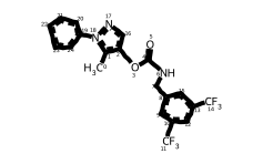 Cc1c(OC(=O)NCc2cc(C(F)(F)F)cc(C(F)(F)F)c2)cnn1-c1ccccc1